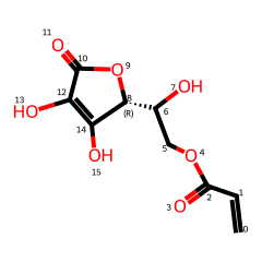 C=CC(=O)OCC(O)[C@H]1OC(=O)C(O)=C1O